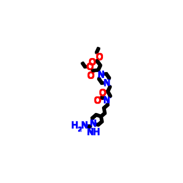 CCOC(=O)CC(C(=O)OCC)N1CCN(CC2CN(CCCC3CCN(C(=N)N)CC3)C(=O)O2)CC1